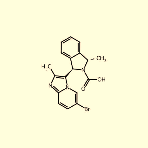 Cc1nc2ccc(Br)cn2c1[C@H]1c2ccccc2[C@H](C)N1C(=O)O